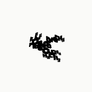 COCCOC(=O)CNP(=O)(Oc1ccc(C(C)(C)C)cc1)Oc1c(F)c(F)c(F)c(F)c1F